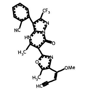 C#C/C=C(/OC)c1nc(-c2c(C)[nH]c3c(-c4ccccc4C#N)c(C(F)(F)F)nn3c2=O)oc1C